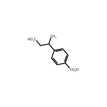 CCOC(=O)c1ccc(C(C)CC(=O)O)cc1